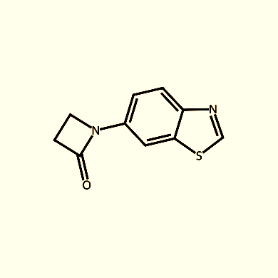 O=C1CCN1c1ccc2ncsc2c1